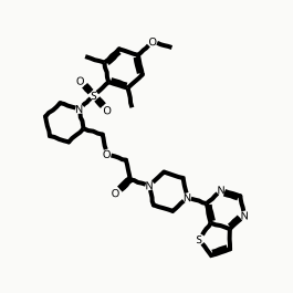 COc1cc(C)c(S(=O)(=O)N2CCCCC2COCC(=O)N2CCN(c3ncnc4ccsc34)CC2)c(C)c1